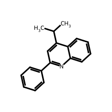 CC(C)c1cc(-c2ccccc2)nc2ccccc12